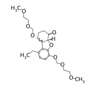 CCc1ccc(OCOCCOC)c2c1[C@]13CCC[C@]1(OCOCCOC)CCC(=O)[C@@H]3O2